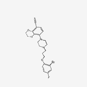 N#Cc1ccc(N2CCN(CCCOc3ccc(F)cc3Br)CC2)c2c1OCCO2